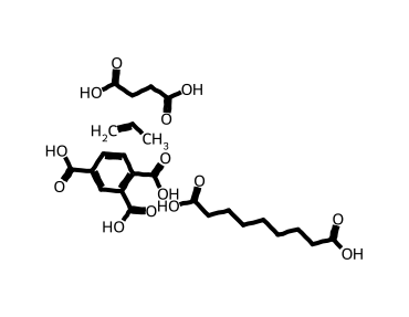 C=CC.O=C(O)CCC(=O)O.O=C(O)CCCCCCCC(=O)O.O=C(O)c1ccc(C(=O)O)c(C(=O)O)c1